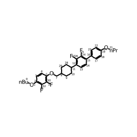 CCCCOc1ccc(OCC2CCC(c3ccc(-c4ccc(OCCC)cc4)c(F)c3F)CC2)c(F)c1F